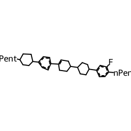 CCCCCc1ccc(C2CCC(C3CC=C(c4ccc(C5CCC(CCCCC)CC5)cc4)CC3)CC2)cc1F